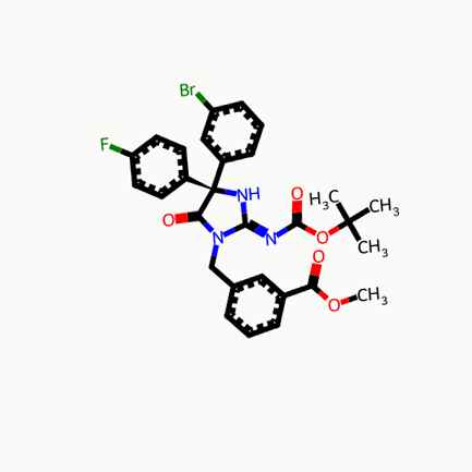 COC(=O)c1cccc(CN2C(=O)[C@](c3ccc(F)cc3)(c3cccc(Br)c3)NC2=NC(=O)OC(C)(C)C)c1